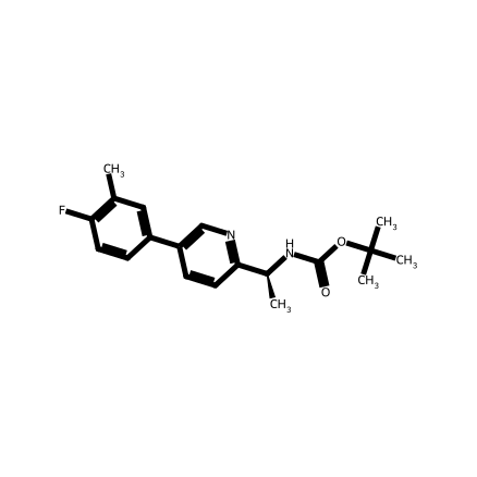 Cc1cc(-c2ccc([C@H](C)NC(=O)OC(C)(C)C)nc2)ccc1F